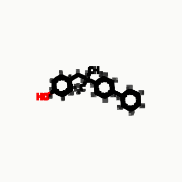 C[Si](C)(Cc1ccc(O)cc1)c1ccc(-c2ccccc2)cc1